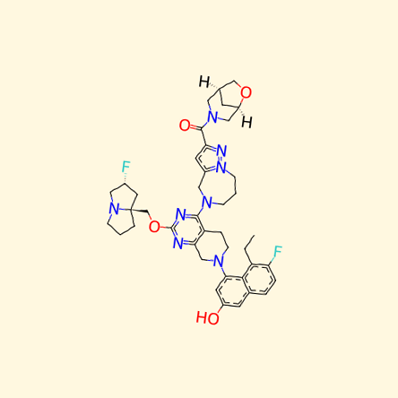 CCc1c(F)ccc2cc(O)cc(N3CCc4c(nc(OC[C@@]56CCCN5C[C@H](F)C6)nc4N4CCCn5nc(C(=O)N6C[C@H]7CO[C@H](C7)C6)cc5C4)C3)c12